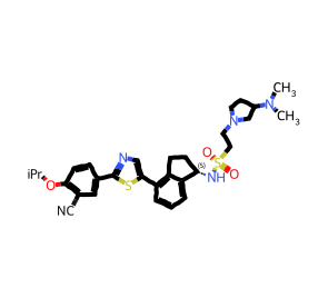 CC(C)Oc1ccc(-c2ncc(-c3cccc4c3CC[C@@H]4NS(=O)(=O)CCN3CCC(N(C)C)C3)s2)cc1C#N